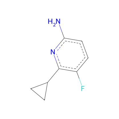 Nc1ccc(F)c(C2CC2)n1